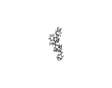 FC1(F)CCN(c2nnc(NC3C[C@@H]4CN(CC5CCOCC5)C[C@@H]4C3)c3c2CCCC3)CC1